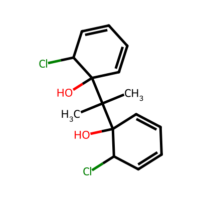 CC(C)(C1(O)C=CC=CC1Cl)C1(O)C=CC=CC1Cl